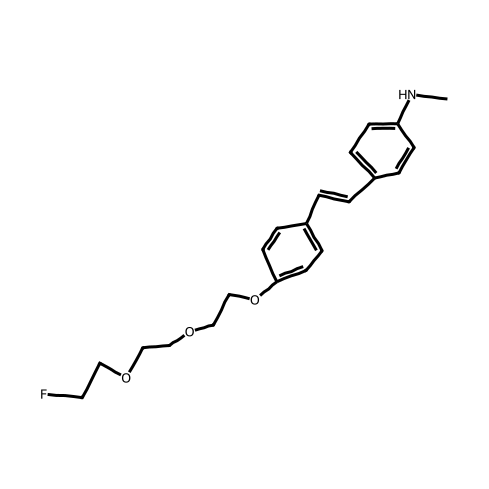 CNc1ccc(C=Cc2ccc(OCCOCCOCCF)cc2)cc1